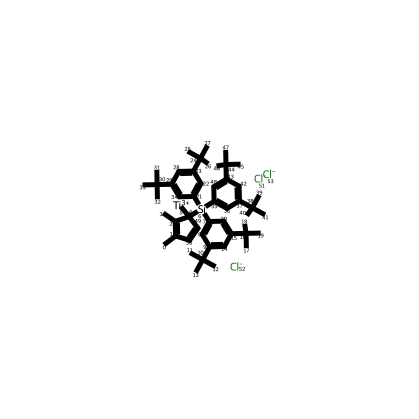 CC1=C(C)[C]([Ti+3])([Si](c2cc(C(C)(C)C)cc(C(C)(C)C)c2)(c2cc(C(C)(C)C)cc(C(C)(C)C)c2)c2cc(C(C)(C)C)cc(C(C)(C)C)c2)C=C1.[Cl-].[Cl-].[Cl-]